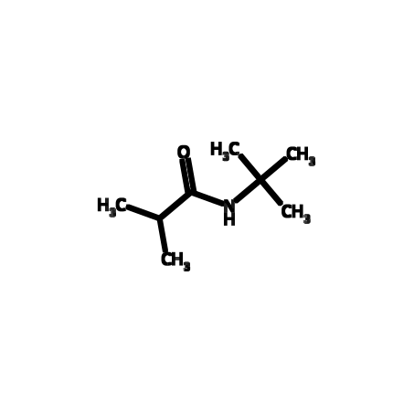 CC(C)C(=O)NC(C)(C)C